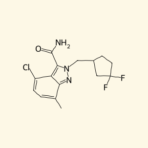 Cc1ccc(Cl)c2c(C(N)=O)n(CC3CCC(F)(F)C3)nc12